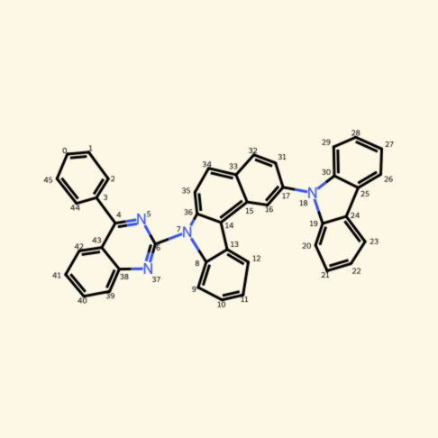 c1ccc(-c2nc(-n3c4ccccc4c4c5cc(-n6c7ccccc7c7ccccc76)ccc5ccc43)nc3ccccc23)cc1